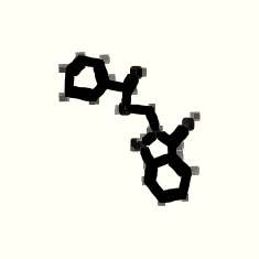 O=C(OCn1[se]c2ccccc2c1=O)c1ccccc1